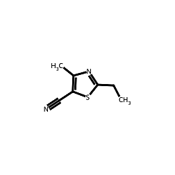 CCc1nc(C)c(C#N)s1